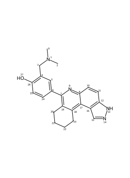 CN(C)Cc1cc(-c2nc3ccc4[nH]ncc4c3c3c2CCCC3)ccc1O